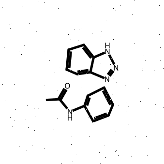 CC(=O)Nc1ccccc1.c1ccc2[nH]nnc2c1